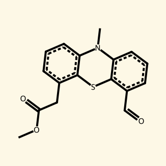 COC(=O)Cc1cccc2c1Sc1c(C=O)cccc1N2C